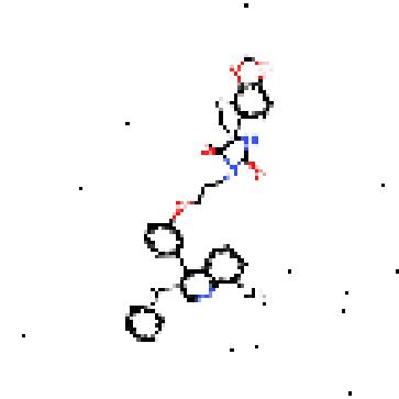 CCC1(c2ccc3c(c2)OCO3)NC(=O)N(CCCOc2cccc(-c3c(Cc4ccccc4)cnc4c(C)cccc34)c2)C1=O